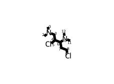 CN(C)CC(Cl)C(CCCl)N(C)C